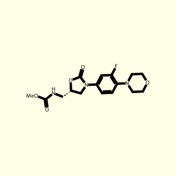 COC(=O)NC[C@H]1CN(c2ccc(N3CCOCC3)c(F)c2)C(=O)O1